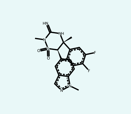 CN1C(=N)N[C@](C)(c2cc(F)c(F)cc2F)[C@@H](c2ccc3c(cnn3C)c2)S1(=O)=O